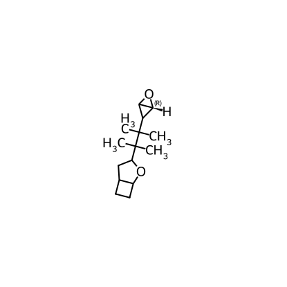 CC(C)(C1CC2CCC2O1)C(C)(C)C1C2O[C@@H]21